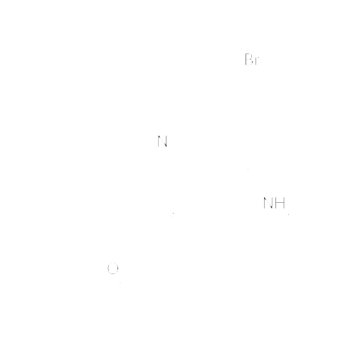 CCO/C=C/c1nc(C)c(Br)cc1N